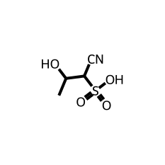 CC(O)C(C#N)S(=O)(=O)O